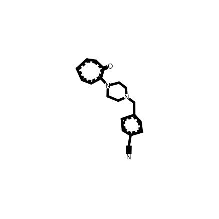 N#Cc1ccc(CN2CCN(c3cccccc3=O)CC2)cc1